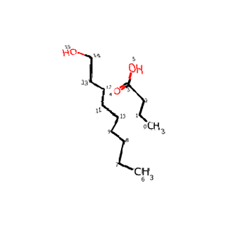 CCCC(=O)O.CCCCCCCCCO